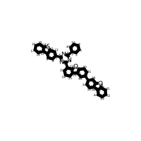 c1ccc(-c2nc(-c3ccc4c(c3)sc3ccccc34)nc(-c3cccc4c3oc3ccc(-c5ccc6c(c5)oc5ccccc56)cc34)n2)cc1